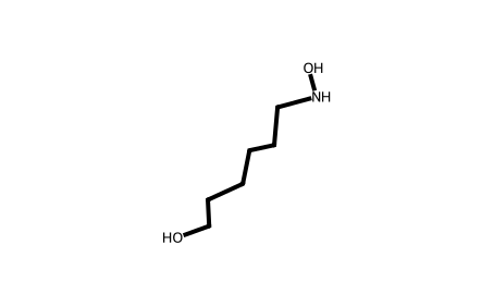 OCCCCCCNO